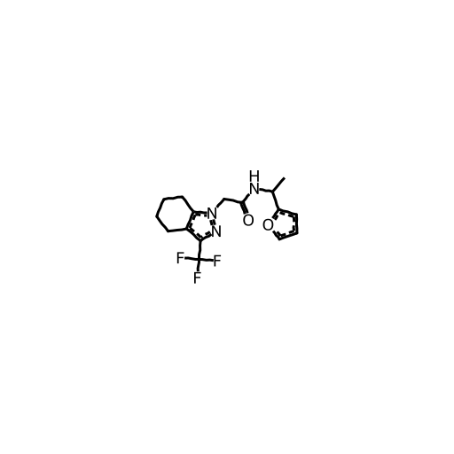 CC(NC(=O)Cn1nc(C(F)(F)F)c2c1CCCC2)c1ccco1